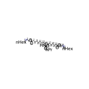 CCCCCC/C=C\COC(=O)CCCCCCCC(CCCCCCCC(=O)OC/C=C\CCCCCC)NC(=O)OCCC